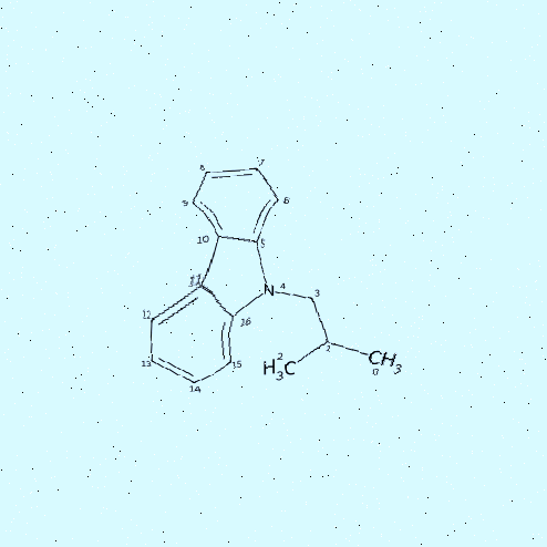 CC(C)Cn1c2ccccc2c2ccccc21